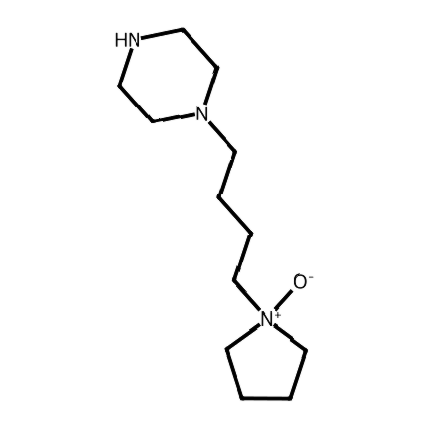 [O-][N+]1(CCCCN2CCNCC2)CCCC1